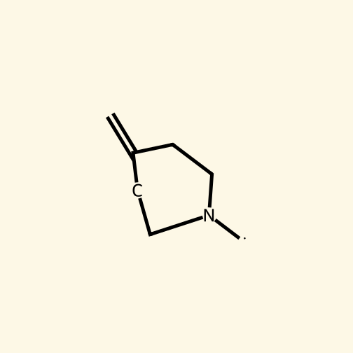 [CH2]N1CCC(=C)CC1